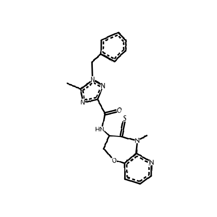 Cc1nc(C(=O)NC2COc3cccnc3N(C)C2=S)nn1Cc1ccccc1